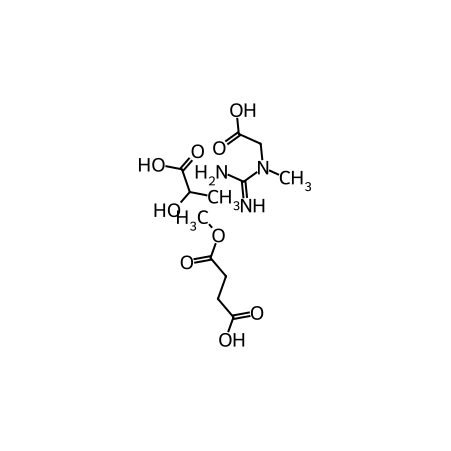 CC(O)C(=O)O.CN(CC(=O)O)C(=N)N.COC(=O)CCC(=O)O